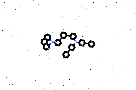 c1ccc(-c2ccc(N(c3ccc(-c4ccccc4)cc3)c3cccc(-c4cccc(-c5cccc(-n6c7cccc8ccc9cccc6c9c87)c5)c4)c3)cc2)cc1